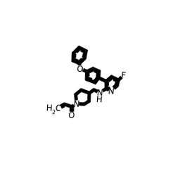 C=CC(=O)N1CCC(CNc2ncc(F)cc2-c2ccc(Oc3ccccc3)cc2)CC1